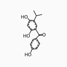 CC(C)c1cc(C(=O)c2ccc(O)cc2)c(O)cc1O